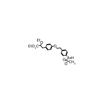 CCOC(=O)C(Cc1ccc(OCCc2ccc([AsH]S(C)(=O)=O)cc2)cc1)OCC